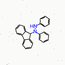 c1ccc(NN(c2ccccc2)C2c3ccccc3-c3ccccc32)cc1